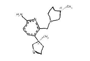 C[C@H]1CCN(Cc2nc(N)ccc2[C@@]2(C)CCOC2)C1